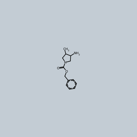 CC1CN(C(=O)OCc2ccccc2)CC1N